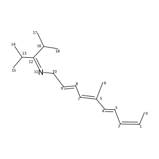 C\C=C/C=C/C(C)=C/C=C/CN=C(C(C)C)C(C)C